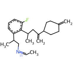 C=C1CCC(C(=C)CC(C)c2c(F)cccc2C(C)C/N=C\C)CC1